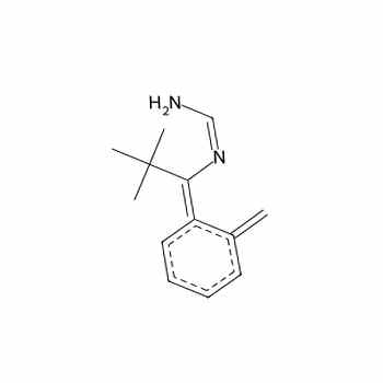 C=c1cccc/c1=C(/N=C\N)C(C)(C)C